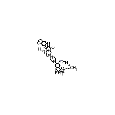 C/C=C\c1cc(C(OCCCC)(C(F)(F)F)C(F)(F)F)ccc1N1CCN(C(=O)CN2C(=O)NC(C)(c3ccc4c(c3)OCC4)C2=O)CC1